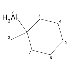 C[C]1([AlH2])CCCCC1